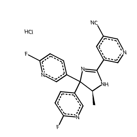 C[C@@H]1NC(c2cncc(C#N)c2)=NC1(c1ccc(F)nc1)c1ccc(F)nc1.Cl